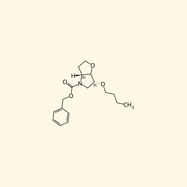 CCCCO[C@@H]1CN(C(=O)OCc2ccccc2)[C@@H]2CCOC21